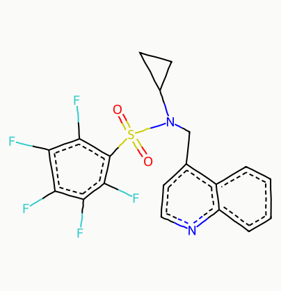 O=S(=O)(c1c(F)c(F)c(F)c(F)c1F)N(Cc1ccnc2ccccc12)C1CC1